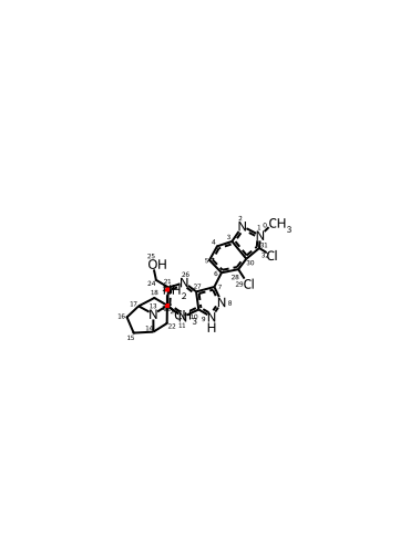 Cn1nc2ccc(-c3n[nH]c4nc(N5C6CCC5CC(C)(N)C6)c(CO)nc34)c(Cl)c2c1Cl